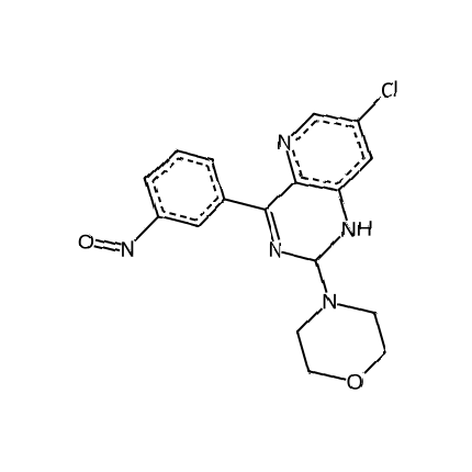 O=Nc1cccc(C2=NC(N3CCOCC3)Nc3cc(Cl)cnc32)c1